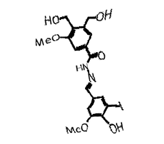 COc1cc(/C=N/NC(=O)c2cc(CO)c(CO)c(OC)c2)cc(I)c1O